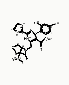 COC(=O)C1=C(CN2C(C)C3(N(C)C(C)C)COCC23)NC(c2nccs2)=N[C@H]1c1ccc(F)cc1Cl